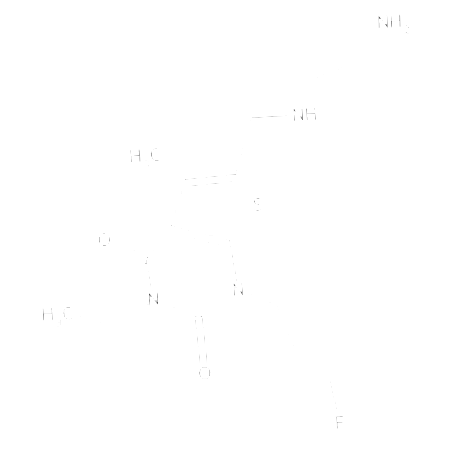 CCn1c(=O)c2c(C)c(CNCCN)sc2n(CCCF)c1=O